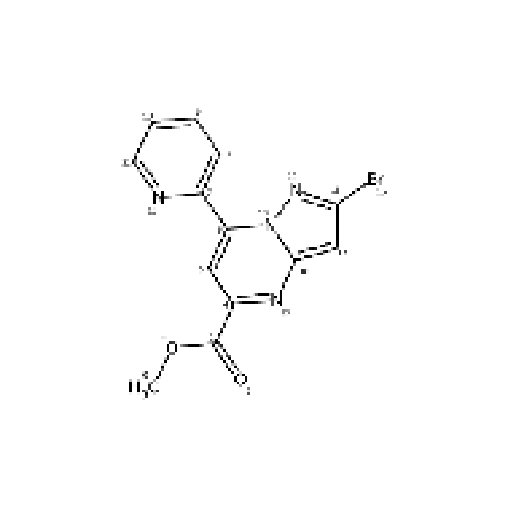 COC(=O)c1cc(-c2ccccn2)n2nc(Br)cc2n1